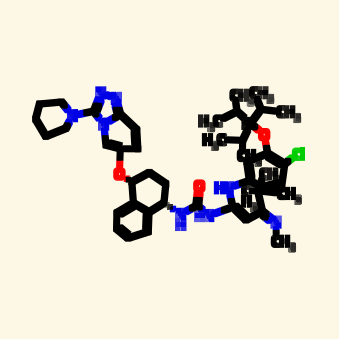 C/N=C(\C=C(\NC(=O)N[C@H]1CC[C@@H](Oc2ccc3nnc(N4CCCCC4)n3c2)c2ccccc21)Nc1ccc(Cl)c(O[Si](C(C)C)(C(C)C)C(C)C)c1)C(C)(C)C